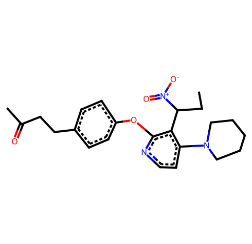 CCC(c1c(N2CCCCC2)ccnc1Oc1ccc(CCC(C)=O)cc1)[N+](=O)[O-]